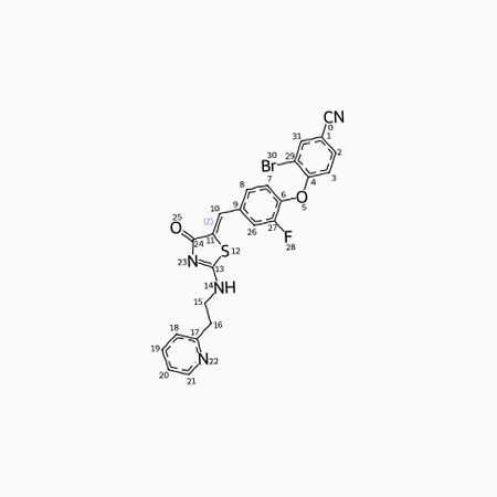 N#Cc1ccc(Oc2ccc(/C=C3\SC(NCCc4ccccn4)=NC3=O)cc2F)c(Br)c1